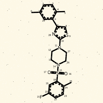 Cc1ccc(C)c(-c2csc(N3CCN(S(=O)(=O)c4cc(F)ccc4C)CC3)n2)c1